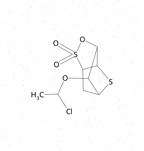 CC(Cl)OC1C2CC3C(S2)C1OS3(=O)=O